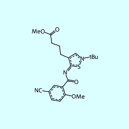 COC(=O)CCCc1cn(C(C)(C)C)s/c1=N\C(=O)c1cc(C#N)ccc1OC